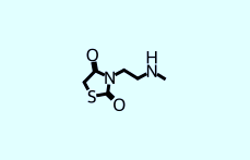 CNCCN1C(=O)CSC1=O